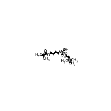 C=C(C)C(=O)OCCCCOP(=O)(O)OCC[N+](C)(C)C